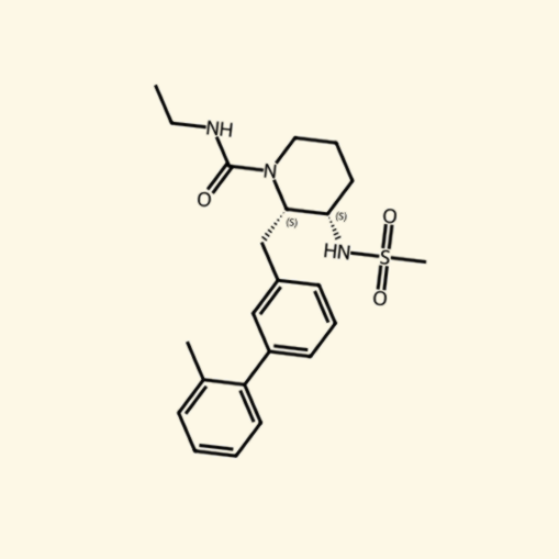 CCNC(=O)N1CCC[C@H](NS(C)(=O)=O)[C@@H]1Cc1cccc(-c2ccccc2C)c1